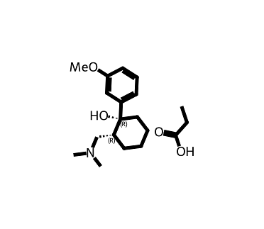 CCC(=O)O.COc1cccc([C@@]2(O)CCCC[C@@H]2CN(C)C)c1